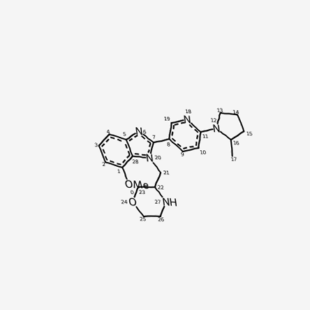 COc1cccc2nc(-c3ccc(N4CCCC4C)nc3)n(CC3COCCN3)c12